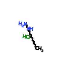 CCCCCCCCCCCCNCCN.Cl